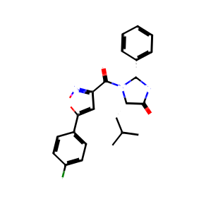 CC(C)C[C@H]1C(=O)N[C@@H](c2ccccc2)N1C(=O)c1cc(-c2ccc(F)cc2)on1